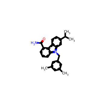 Cc1cc(C)cc(Cn2c3cc(C(C)C)c[c]c3c3c(C(N)=O)cccc32)c1